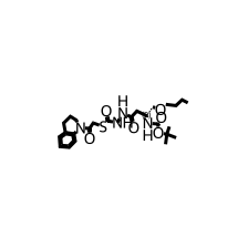 CCCCOC[C@@H](CC(=O)NNC(=O)SCC(=O)N1CCCc2ccccc21)NC(=O)OC(C)(C)C